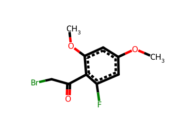 COc1cc(F)c(C(=O)CBr)c(OC)c1